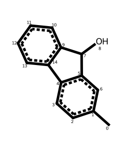 Cc1ccc2c(c1)C(O)c1ccccc1-2